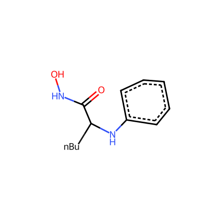 CCCCC(Nc1ccccc1)C(=O)NO